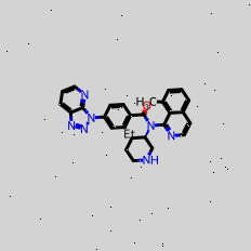 CCc1cc(-n2nnc3cccnc32)ccc1C(=O)N(c1nccc2cccc(C)c12)[C@@H]1CCCNC1